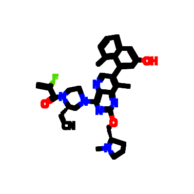 C=C(F)C(=O)N1CCN(c2nc(OC[C@@H]3CCCN3C)nc3c(C)c(-c4cc(O)cc5cccc(C)c45)cnc23)C[C@@H]1CC#N